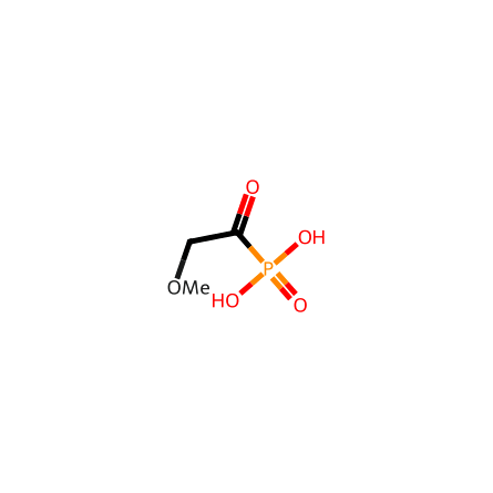 COCC(=O)P(=O)(O)O